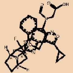 O=CN(CC(=O)O)c1ccc2nc(N3[C@@H]4CC[C@H]3C[C@H](OCc3c(-c5ccccc5OC(F)(F)F)noc3C3CC3)C4)sc2c1